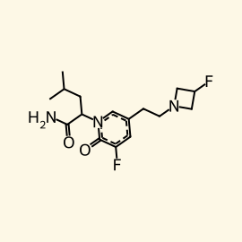 CC(C)CC(C(N)=O)n1cc(CCN2CC(F)C2)cc(F)c1=O